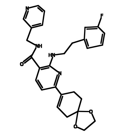 O=C(NCc1cccnc1)c1ccc(C2=CCC3(CC2)OCCO3)nc1NCCc1cccc(F)c1